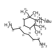 CCCCNN1C(C)(C)CCCC1(C)C.NCCCCCCN